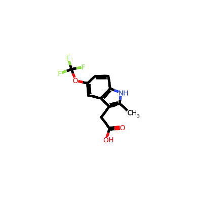 Cc1[nH]c2ccc(OC(F)(F)F)cc2c1CC(=O)O